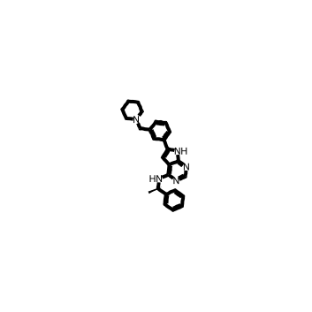 C[C@@H](Nc1ncnc2[nH]c(-c3cccc(CN4CCCCC4)c3)cc12)c1ccccc1